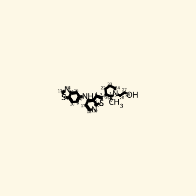 C[C@H]1[C@H](c2cc3c(Nc4ccc5scnc5c4)ccnc3s2)CCCN1CCO